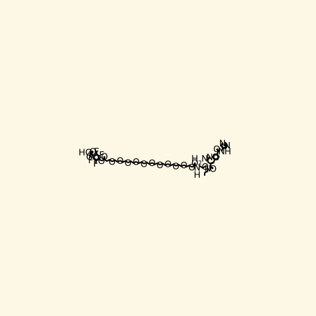 CCCN(OCCNC(=O)OCCOCCOCCOCCOCCOCCOCCOCCOCCOCCOCCC(=O)Oc1c(F)c(F)c(S(=O)(=O)O)c(F)c1F)C(=O)C1=Cc2ccc(C(=O)Nc3cncnc3)cc2N=C(N)C1